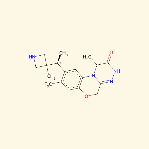 CC1C(=O)NN=C2COc3cc(C(F)(F)F)c([C@H](C)C4(C)CNC4)cc3N21